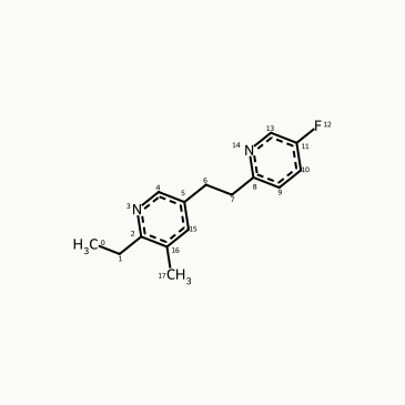 CCc1ncc(CCc2ccc(F)cn2)cc1C